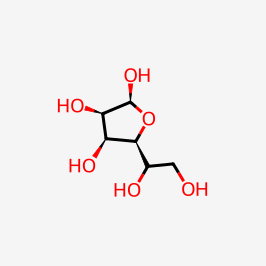 OCC(O)[C@@H]1O[C@H](O)[C@H](O)[C@@H]1O